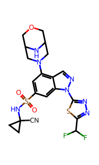 N#CC1(NS(=O)(=O)c2cc(N3CC4COCC(C3)N4)c3cnn(-c4nnc(C(F)F)s4)c3c2)CC1